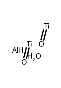 O.[AlH3].[O]=[Ti].[O]=[Ti]